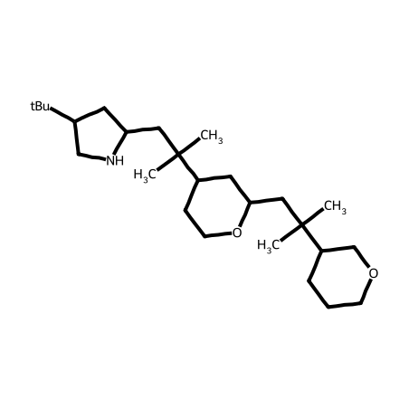 CC(C)(C)C1CNC(CC(C)(C)C2CCOC(CC(C)(C)C3CCCOC3)C2)C1